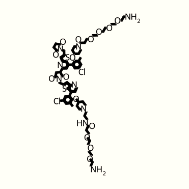 Cc1cc(Cl)cc(-c2ccnc3cc(CN4C(=O)CC(c5cc(-c6cc(Cl)cc(C)c6OC6CCN(C(=O)CCOCCOCCOCCOCCN)CC6)c6sc(CN7C(=O)CCC7=O)cc6n5)C4=O)sc23)c1OC1CCN(CCCNC(=O)CCOCCOCCOCCN)CC1